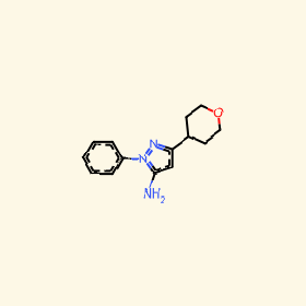 Nc1cc(C2CCOCC2)nn1-c1ccccc1